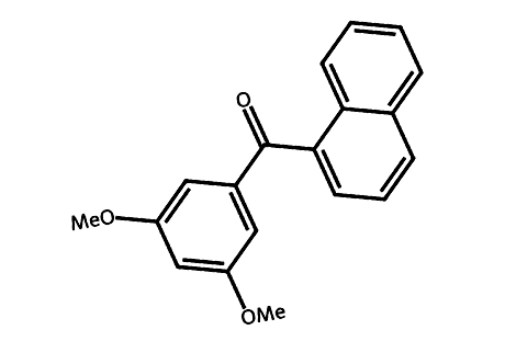 COc1cc(OC)cc(C(=O)c2cccc3ccccc23)c1